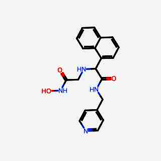 O=C(CNC(C(=O)NCc1ccncc1)c1cccc2ccccc12)NO